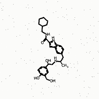 C[C@H](Cc1ccc2[nH]c(C(=O)NCC3CCCCC3)cc2c1)NC[C@H](O)c1ccc(O)c(CO)c1